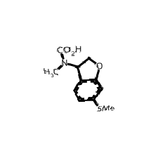 CSc1ccc2c(c1)OCC2N(C)C(=O)O